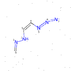 C=NN/C=C\N=[N+]=[N-]